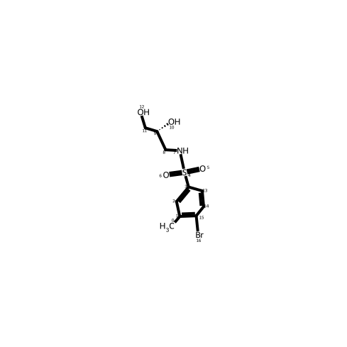 Cc1cc(S(=O)(=O)NC[C@@H](O)CO)ccc1Br